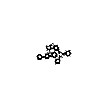 c1ccc(-c2ccc3c4ccccc4n(-c4cccc5oc6ccc(-c7nc(-c8ccccc8)nc(-c8ccccc8)n7)cc6c45)c3c2)cc1